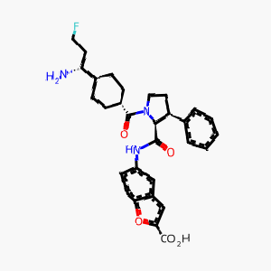 N[C@H](CCF)[C@H]1CC[C@H](C(=O)N2CC[C@@H](c3ccccc3)[C@H]2C(=O)Nc2ccc3oc(C(=O)O)cc3c2)CC1